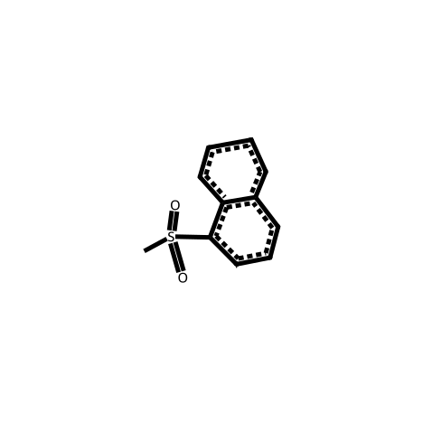 CS(=O)(=O)c1[c]ccc2ccccc12